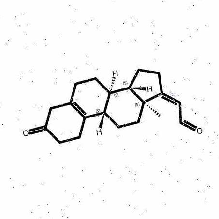 C[C@]12CC[C@@H]3C4=C(CC[C@H]3[C@@H]1CC/C2=C/C=O)CC(=O)CC4